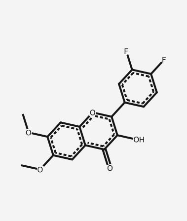 COc1cc2oc(-c3ccc(F)c(F)c3)c(O)c(=O)c2cc1OC